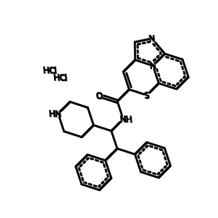 Cl.Cl.O=C(NC(C1CCNCC1)C(c1ccccc1)c1ccccc1)C1=Cc2cnc3cccc(n23)S1